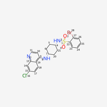 O=S(=O)(N[C@H]1CC[C@@H](Nc2ccnc3cc(Cl)ccc23)CC1)c1ccccc1Br